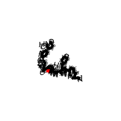 N#Cc1cnn2c(-c3cc(NC4CCOCC4)c(-c4nnc(C56CCC(C(=O)N7CCN(Oc8ccc([C@H]9CCC(=O)NC9=O)cn8)CC7)=C(C5)C6)s4)cn3)ccc2c1